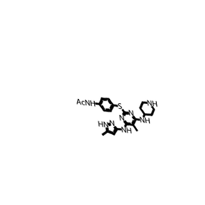 CC(=O)Nc1ccc(Sc2nc(Nc3cc(C)[nH]n3)c(C)c(NC3CCNCC3)n2)cc1